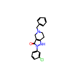 O=c1c2c([nH]n1-c1cccc(Cl)c1)CCN(Cc1ccccc1)C2